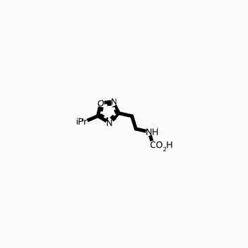 CC(C)c1nc(CCNC(=O)O)no1